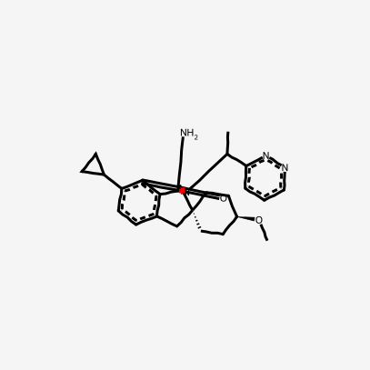 CO[C@H]1CC[C@]2(CC1)Cc1ccc(C3CC3)cc1C21N=C(N)N(C(C)c2cccnn2)C1=O